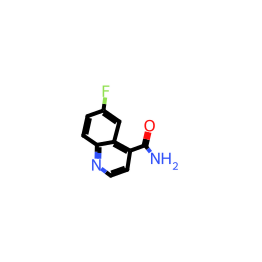 NC(=O)c1ccnc2ccc(F)cc12